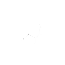 CC(C)CC(C)[CH]I